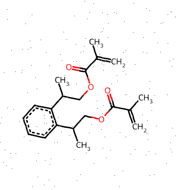 C=C(C)C(=O)OCC(C)c1ccccc1C(C)COC(=O)C(=C)C